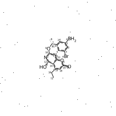 Bc1cc(Br)cc([C@@H](C)Oc2nc(O)c3c(CC)cc(=O)oc3n2)c1